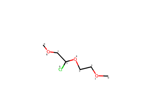 COCCOC(Cl)COC